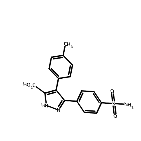 Cc1ccc(-c2c(-c3ccc(S(N)(=O)=O)cc3)n[nH]c2C(=O)O)cc1